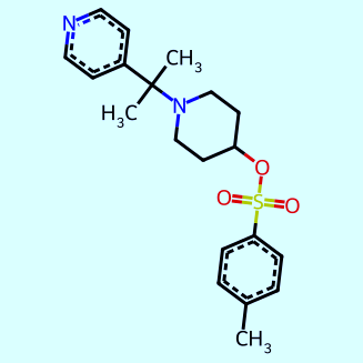 Cc1ccc(S(=O)(=O)OC2CCN(C(C)(C)c3ccncc3)CC2)cc1